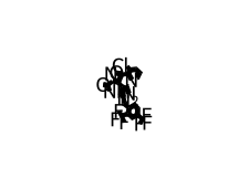 NC(=O)c1noc(-c2ncccc2Cl)c1-c1cnn(Cc2ccc(C(F)(F)F)cc2C(F)(F)F)c1